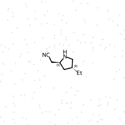 CC[C@H]1CN[C@H](CC#N)C1